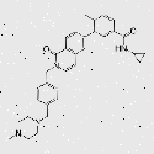 Cc1ccc(C(=O)NC2CC2)cc1-c1ccc2c(=O)n(Cc3ccc(CN4CCN(C)CC4)cc3)ccc2c1